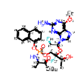 CCOc1nc(N)nc2c1ncn2[C@H](CF)O[C@](F)(COP(=O)(NC(C)C(=O)OCC(C)C)Oc1cccc2ccccc12)[C@H](C)O